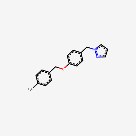 FC(F)(F)c1ccc(COc2ccc(Cn3cccn3)cc2)cc1